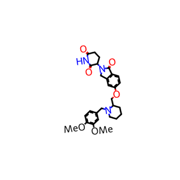 COc1ccc(CN2CCCCC2COc2ccc3c(c2)CN(C2CCC(=O)NC2=O)C3=O)cc1OC